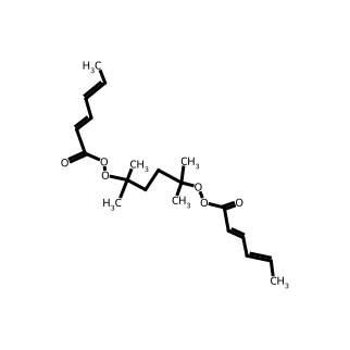 C/C=C/C=C/C(=O)OOC(C)(C)CCC(C)(C)OOC(=O)/C=C/C=C/C